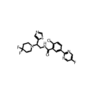 O=C(NCC(c1cncs1)N1CCC(F)(F)CC1)c1cc(-c2ncc(F)cn2)ccc1Cl